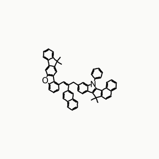 CC1(C)c2ccccc2-c2cc3oc4cccc(/C=C(/Cc5ccc6c7c(n(-c8ccccc8)c6c5)-c5c(ccc6ccccc56)C7(C)C)c5ccc6ccccc6c5)c4c3cc21